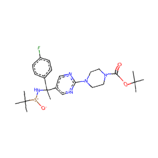 CC(C)(C)OC(=O)N1CCN(c2ncc(C(C)(N[S+]([O-])C(C)(C)C)c3ccc(F)cc3)cn2)CC1